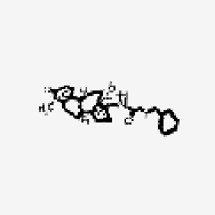 CN1C(=O)CC[C@@]2(C)C1CC[C@@H]1[C@H]2CC[C@]2(C)C(NC(=O)CSCc3ccccc3)CC[C@@H]12